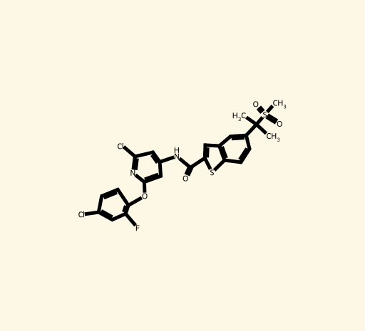 CC(C)(c1ccc2sc(C(=O)Nc3cc(Cl)nc(Oc4ccc(Cl)cc4F)c3)cc2c1)S(C)(=O)=O